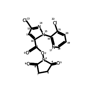 O=C(ON1C(=O)CCC1=O)c1cc(Cl)nn1-c1ncccc1Cl